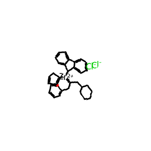 C1=CC[C](/[Zr+2](=[C](\Cc2ccccc2)CC2CCCCC2)[CH]2c3ccccc3-c3ccccc32)=C1.[Cl-].[Cl-]